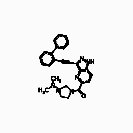 CN(C)[C@@H]1CCN(C(=O)c2ccc3[nH]nc(C#Cc4ccccc4-c4ccccc4)c3n2)C1